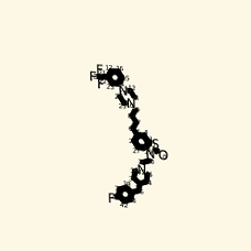 O=c1sc2cc(CCCCN3CCN(c4cccc(C(F)(F)F)c4)CC3)ccc2n1CCN1CCC(Cc2ccc(F)cc2)CC1